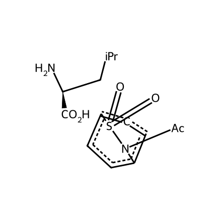 CC(=O)N1c2ccc(cc2)S1(=O)=O.CC(C)C[C@H](N)C(=O)O